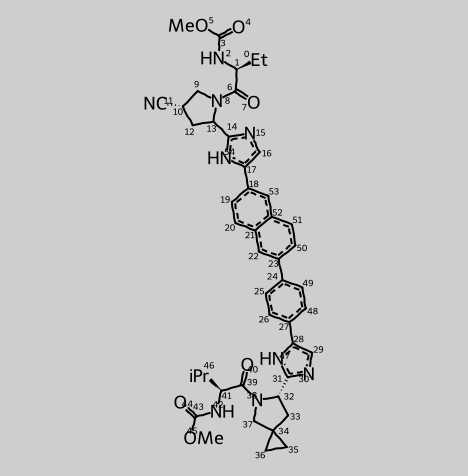 CC[C@H](NC(=O)OC)C(=O)N1C[C@@H](C#N)CC1c1ncc(-c2ccc3cc(-c4ccc(-c5cnc([C@@H]6CC7(CC7)CN6C(=O)[C@@H](NC(=O)OC)C(C)C)[nH]5)cc4)ccc3c2)[nH]1